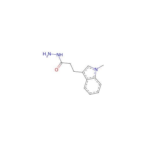 Cn1cc(CCC(=O)NN)c2ccccc21